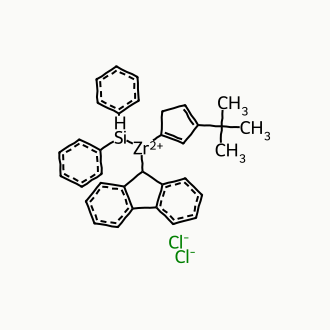 CC(C)(C)C1=CC[C]([Zr+2]([CH]2c3ccccc3-c3ccccc32)[SiH](c2ccccc2)c2ccccc2)=C1.[Cl-].[Cl-]